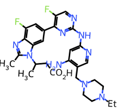 CCN1CCN(Cc2cnc(Nc3ncc(F)c(-c4cc(F)c5nc(C)n(C(C)CC(=O)O)c5c4)n3)cc2N)CC1